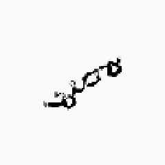 N#CC1CCC(C(=O)CN2CCN(Cc3cccc(I)c3)CC2)N1